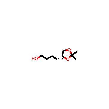 CC1(C)OC[C@@H](CCCCO)O1